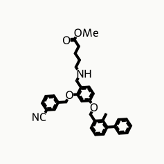 COC(=O)CCCCNCc1ccc(OCc2cccc(-c3ccccc3)c2C)cc1OCc1cccc(C#N)c1